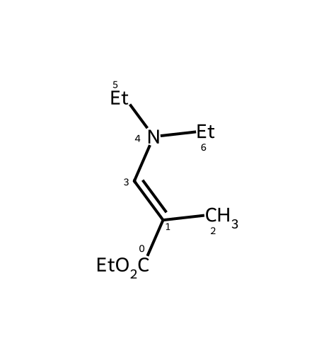 CCOC(=O)C(C)=CN(CC)CC